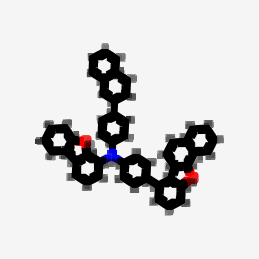 c1ccc2cc(-c3ccc(N(c4ccc(-c5cccc6oc7c8ccccc8ccc7c56)cc4)c4cccc5c4oc4ccccc45)cc3)ccc2c1